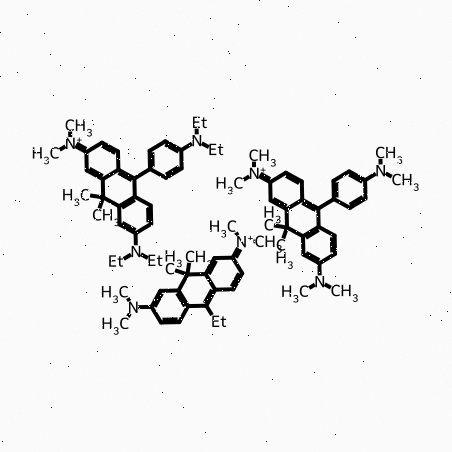 CCC1=C2C=CC(=[N+](C)C)C=C2C(C)(C)c2cc(N(C)C)ccc21.CCN(CC)c1ccc(C2=C3C=CC(=[N+](C)C)C=C3C(C)(C)c3cc(N(CC)CC)ccc32)cc1.CN(C)c1ccc(C2=C3C=CC(=[N+](C)C)C=C3C(C)(C)c3cc(N(C)C)ccc32)cc1